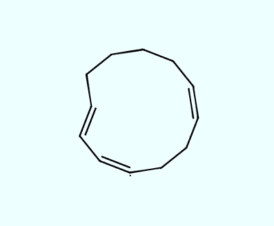 [C]1=C\C=C\CCCC/C=C\CC/1